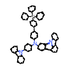 c1ccc([Si](c2ccccc2)(c2ccccc2)c2ccc(-c3ccc(N(c4ccc(-n5c6ccccc6c6ccccc65)cc4)c4ccc5c6cccc7c8ccccc8n(c5c4)c76)cc3)cc2)cc1